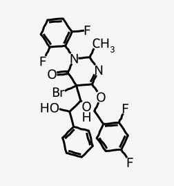 CC1N=C(OCc2ccc(F)cc2F)C(Br)(C(O)C(O)c2ccccc2)C(=O)N1c1c(F)cccc1F